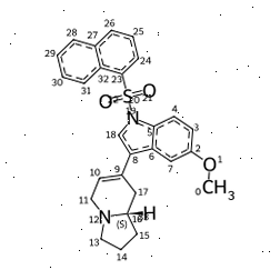 COc1ccc2c(c1)c(C1=CCN3CCC[C@H]3C1)cn2S(=O)(=O)c1cccc2ccccc12